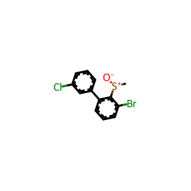 C[S+]([O-])c1c(Br)cccc1-c1cccc(Cl)c1